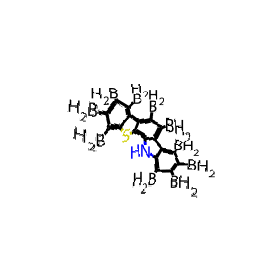 Bc1c(B)c(B)c2c([nH]c3c4sc5c(B)c(B)c(B)c(B)c5c4c(B)c(B)c32)c1B